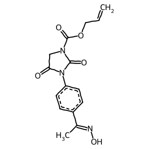 C=CCOC(=O)N1CC(=O)N(c2ccc(C(C)=NO)cc2)C1=O